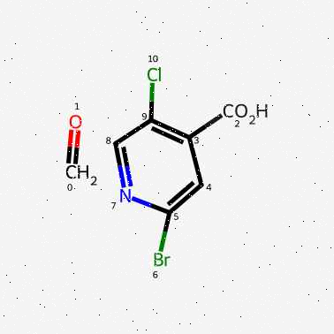 C=O.O=C(O)c1cc(Br)ncc1Cl